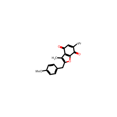 CCCC1=CC(=O)c2c(oc(Cc3ccc(OC)cc3)c2C)C1=O